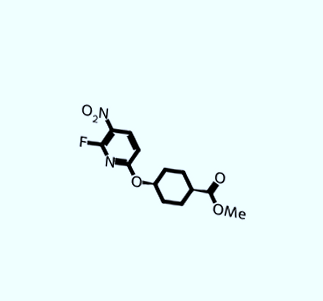 COC(=O)[C@H]1CC[C@@H](Oc2ccc([N+](=O)[O-])c(F)n2)CC1